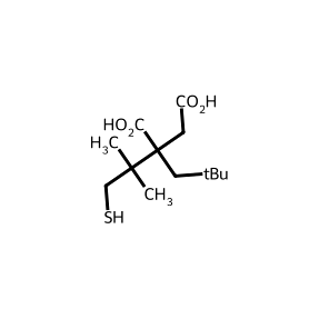 CC(C)(C)CC(CC(=O)O)(C(=O)O)C(C)(C)CS